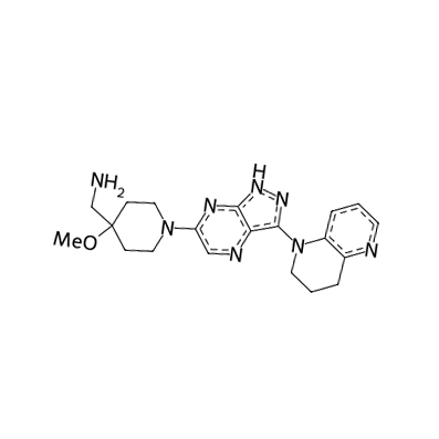 COC1(CN)CCN(c2cnc3c(N4CCCc5ncccc54)n[nH]c3n2)CC1